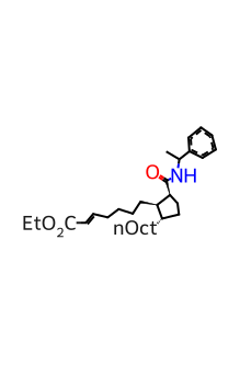 CCCCCCCC[C@H]1CC[C@H](C(=O)NC(C)c2ccccc2)[C@@H]1CCCCC=CC(=O)OCC